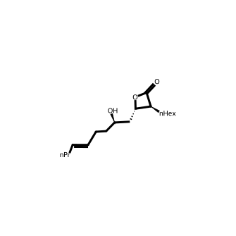 CCC/C=C/CC[C@@H](O)C[C@@H]1OC(=O)[C@H]1CCCCCC